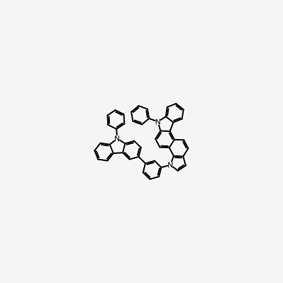 c1ccc(-n2c3ccccc3c3cc(-c4cccc(-n5ccc6ccc7c(ccc8c7c7ccccc7n8-c7ccccc7)c65)c4)ccc32)cc1